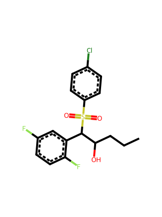 CCCC(O)C(c1cc(F)ccc1F)S(=O)(=O)c1ccc(Cl)cc1